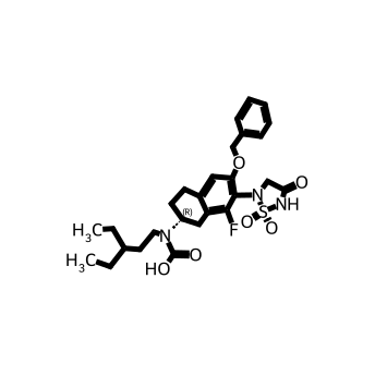 CCC(CC)CCN(C(=O)O)[C@@H]1CCc2cc(OCc3ccccc3)c(N3CC(=O)NS3(=O)=O)c(F)c2C1